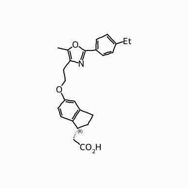 CCc1ccc(-c2nc(CCOc3ccc4c(c3)CC[C@@H]4CC(=O)O)c(C)o2)cc1